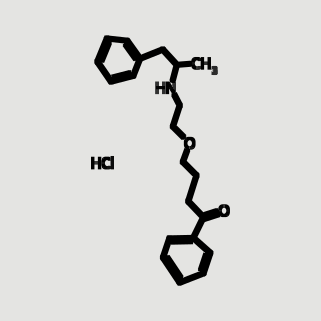 CC(Cc1ccccc1)NCCOCCCC(=O)c1ccccc1.Cl